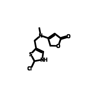 CN(CC1=CNC(Cl)S1)C1=CC(=O)OC1